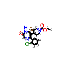 CCOC(=O)N1CCc2c(sc3c2C(c2ccccc2Cl)=NCC(=O)N3)C1